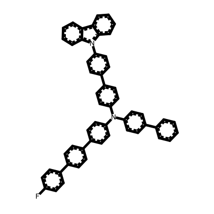 Fc1ccc(-c2ccc(-c3ccc(N(c4ccc(-c5ccccc5)cc4)c4ccc(-c5ccc(-n6c7ccccc7c7ccccc76)cc5)cc4)cc3)cc2)cc1